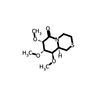 CO[C@H]1[C@H](OC)[C@@H]2CSCCN2C(=O)[C@H]1OC